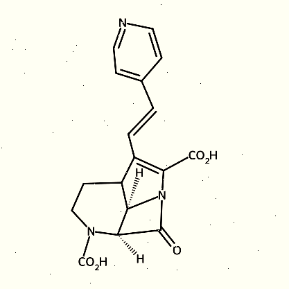 O=C(O)C1=C(/C=C/c2ccncc2)C2CCN(C(=O)O)[C@@H]3C(=O)N1[C@H]23